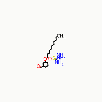 CCCCCCCCC=CC(=O)Oc1cccc(C=O)c1.NNC(N)=S